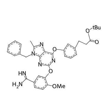 COc1ccc(C(=N)N)cc1Oc1nc(Oc2cccc(CCC(=O)OC(C)(C)C)c2)c2nc(C)n(Cc3ccccc3)c2n1